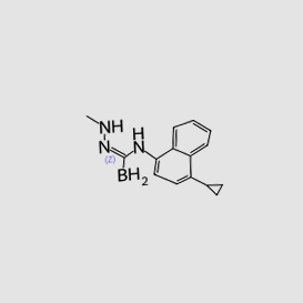 B/C(=N/NC)Nc1ccc(C2CC2)c2ccccc12